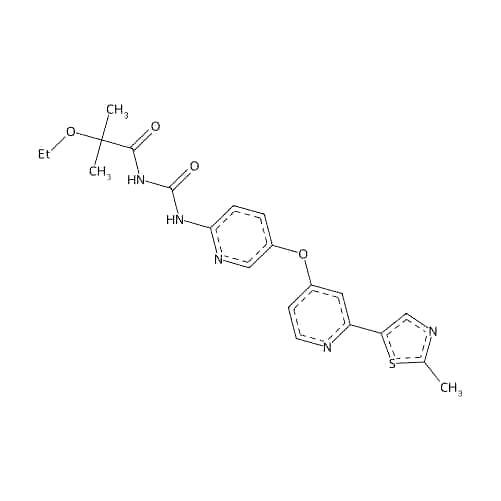 CCOC(C)(C)C(=O)NC(=O)Nc1ccc(Oc2ccnc(-c3cnc(C)s3)c2)cn1